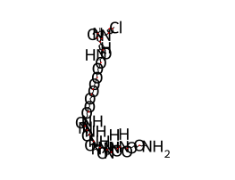 CC(=O)N1c2ccc(-c3ccc(C(=O)NCCOCCOCCOCCOCCOCCOCCOCCOCCNC(=O)c4nc(NC(=O)CCNC(=O)c5cc(NC(=O)c6nc(NC(=O)CCNC(=O)COCCOCCN)cn6C)cn5C)cn4C)cc3)cc2[C@H](Nc2ccc(Cl)cc2)C[C@@H]1C